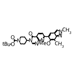 COc1c(-c2ccc3c(=O)n(C4CCN(C(=O)OC(C)(C)C)CC4)cnc3n2)cc2cn(C)nc2c1C